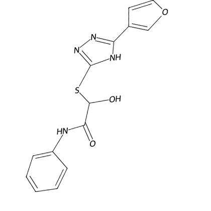 O=C(Nc1ccccc1)C(O)Sc1nnc(-c2ccoc2)[nH]1